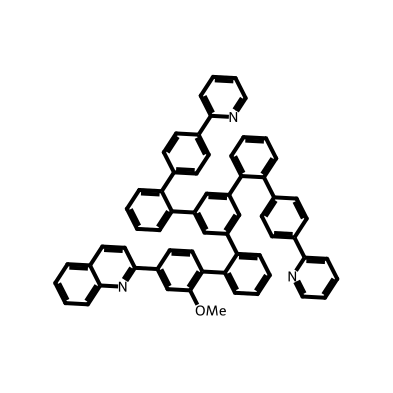 COc1cc(-c2ccc3ccccc3n2)ccc1-c1ccccc1-c1cc(-c2ccccc2-c2ccc(-c3ccccn3)cc2)cc(-c2ccccc2-c2ccc(-c3ccccn3)cc2)c1